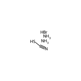 Br.N.N.N#CS